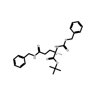 CC(C)(C)OC(=O)[C@@](C)(CCC(=O)NCc1ccccc1)NC(=O)OCc1ccccc1